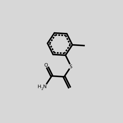 C=C(Sc1ccccc1C)C(N)=O